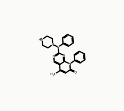 Cc1cc(=O)n(-c2ccccc2)c2nc(N(c3ccccc3)N3CCNCC3)ncc12